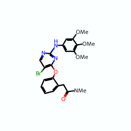 CNC(=O)Cc1ccccc1Oc1nc(Nc2cc(OC)c(OC)c(OC)c2)ncc1Br